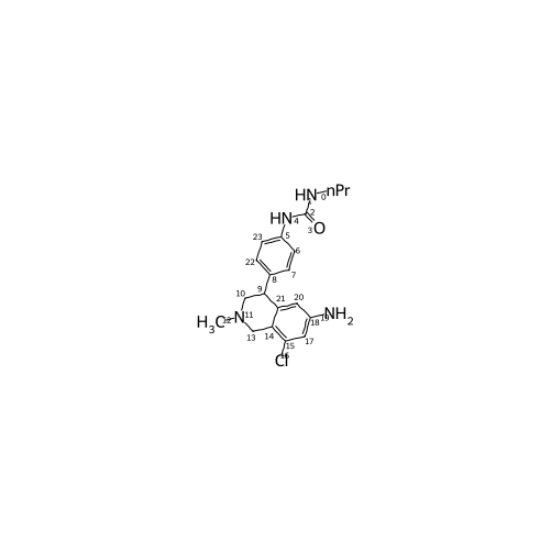 CCCNC(=O)Nc1ccc(C2CN(C)Cc3c(Cl)cc(N)cc32)cc1